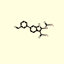 NC(=O)Nc1[nH]c2cc(-c3cccc(C=O)c3)ccc2c1C(N)=O